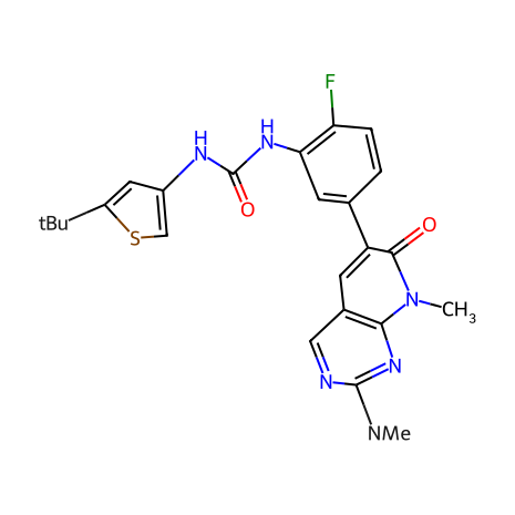 CNc1ncc2cc(-c3ccc(F)c(NC(=O)Nc4csc(C(C)(C)C)c4)c3)c(=O)n(C)c2n1